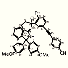 COc1ccc(C(NC2=N[C@](C)(c3cc(C#Cc4ccc(C#N)cn4)ccc3F)CCO2)(c2ccccc2)c2ccc(OC)cc2)cc1